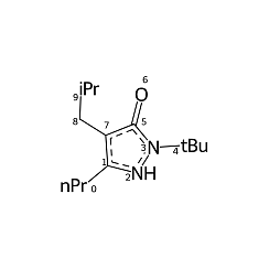 CCCc1[nH]n(C(C)(C)C)c(=O)c1CC(C)C